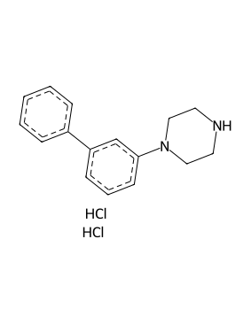 Cl.Cl.c1ccc(-c2cccc(N3CCNCC3)c2)cc1